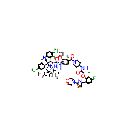 COc1cc(C(=O)N2CCC(NC(=O)COc3c(-c4csc(N5CCOCC5)n4)ccc(F)c3F)CC2)ccc1NC(=O)[C@@H]1N[C@@H](CC(C)(C)C)[C@](C#N)(c2ccc(Cl)cc2F)[C@H]1c1cccc(Cl)c1F